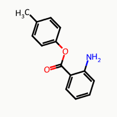 Cc1ccc(OC(=O)c2ccccc2N)cc1